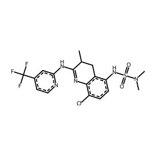 CC1Cc2c(NS(=O)(=O)N(C)C)ccc(Cl)c2N=C1Nc1cc(C(F)(F)F)ccn1